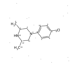 CC1CN(c2ccc(Cl)cc2)CC(C)N1